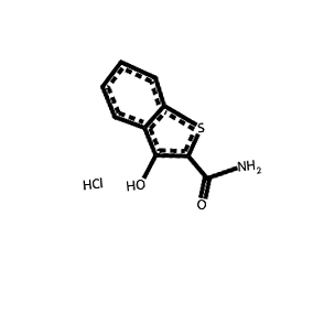 Cl.NC(=O)c1sc2ccccc2c1O